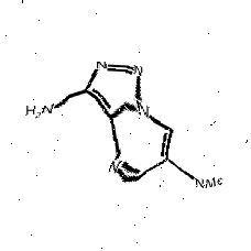 CNc1cnc2c(N)nnn2c1